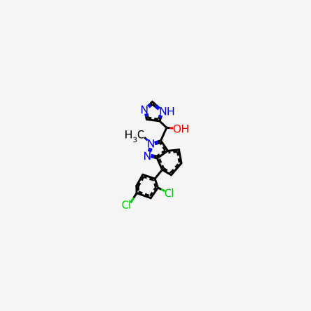 Cn1nc2c(-c3ccc(Cl)cc3Cl)cccc2c1C(O)c1cnc[nH]1